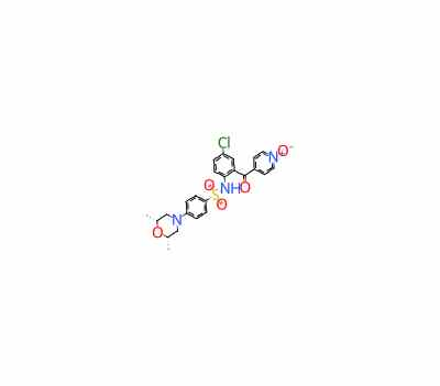 C[C@@H]1CN(c2ccc(S(=O)(=O)Nc3ccc(Cl)cc3C(=O)c3cc[n+]([O-])cc3)cc2)C[C@H](C)O1